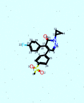 CS(=O)(=O)c1ccc(-c2cnn(C3CC3)c(=O)c2-c2ccc(F)cc2)cc1